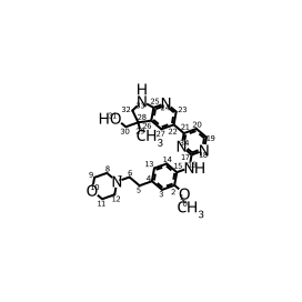 COc1cc(CCN2CCOCC2)ccc1Nc1nccc(-c2cnc3c(c2)C(C)(CO)CN3)n1